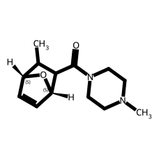 CC1C(C(=O)N2CCN(C)CC2)[C@@H]2C=C[C@H]1O2